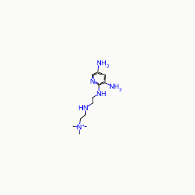 C[N+](C)(C)CCNCCNc1ncc(N)cc1N